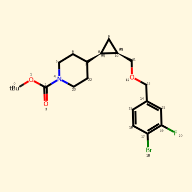 CC(C)(C)OC(=O)N1CCC([C@H]2C[C@H]2COCc2ccc(Br)c(F)c2)CC1